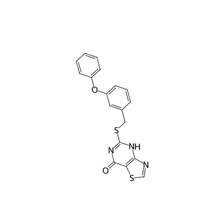 O=c1nc(SCc2cccc(Oc3ccccc3)c2)[nH]c2ncsc12